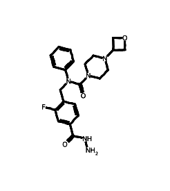 NNC(=O)c1ccc(CN(C(=O)N2CCN(C3COC3)CC2)c2ccccc2)c(F)c1